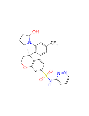 C[C@@]1(c2ccc(C(F)(F)F)cc2N2CCCC2O)CCOc2cc(S(=O)(=O)Nc3cccnn3)ccc21